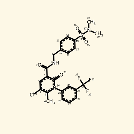 Cc1c(Cl)cc(C(=O)NCc2ccc(S(=O)(=O)N(C)C)cc2)c(=O)n1-c1cccc(C(F)(F)F)c1